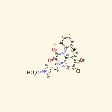 Cc1cccc(C(C)C)c1-n1c(=O)c(=O)n(CC2CN(C(=O)O)C2)c2cc(Cl)c(Br)c(F)c21